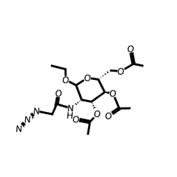 CCOC1O[C@H](COC(C)=O)[C@@H](OC(C)=O)[C@H](OC(C)=O)[C@@H]1NC(=O)CN=[N+]=[N-]